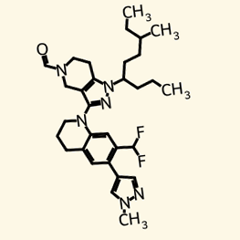 CCCC(CCC(C)CC)n1nc(N2CCCc3cc(-c4cnn(C)c4)c(C(F)F)cc32)c2c1CCN(C=O)C2